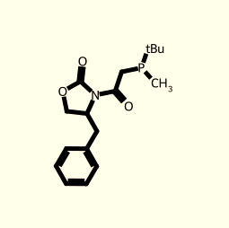 CP(CC(=O)N1C(=O)OCC1Cc1ccccc1)C(C)(C)C